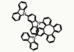 c1ccc2c(c1)-c1ccccc1-c1cccc(-n3c4ccccc4c4cc(-n5c6ccccc6c6ccccc65)ccc43)c1-c1ccc(-n3c4ccccc4c4ccccc43)cc1-2